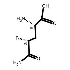 NC(=O)[C@H](F)C[C@H](N)C(=O)O